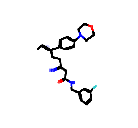 C/C=C(\CCC(=N)CC(=O)NCc1cccc(F)c1)c1ccc(N2CCOCC2)cc1